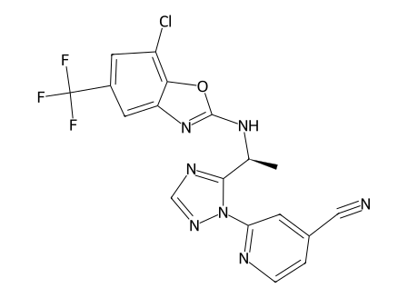 C[C@H](Nc1nc2cc(C(F)(F)F)cc(Cl)c2o1)c1ncnn1-c1cc(C#N)ccn1